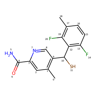 Cc1cc(C(N)=O)ncc1C(S)c1c(F)ccc(C)c1F